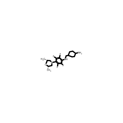 C[C@@H]1CN(c2c(F)c(F)c(NCC3CCC(N)CC3)c(F)c2F)C[C@H](C)O1